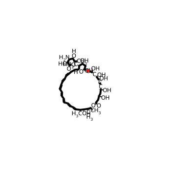 CC1OC(O[C@H]2/C=C/C=C/C=C/C=C/C=C/C=C/C=C/[C@H](C)[C@@H](O)[C@@H](C)[C@H](C)OC(=O)C[C@H](O)C[C@H](O)CC[C@@H](O)[C@H](O)C[C@H](O)C[C@]3(O)C[C@H](O)[C@@H](C(=O)O)[C@H](C2)O3)C(O)C(N)C1O